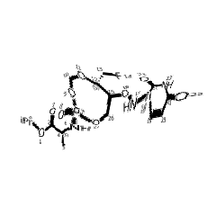 CC(C)OC(=O)[C@H](C)NP1(=O)OCO[C@H](CF)C(ONn2ccc(=O)[nH]c2=O)CO1